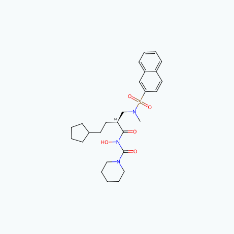 CN(C[C@H](CCC1CCCC1)C(=O)N(O)C(=O)N1CCCCC1)S(=O)(=O)c1ccc2ccccc2c1